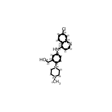 CN1CCN(c2ccc(Nc3ccnc4cc(Cl)ccc34)cc2CO)CC1